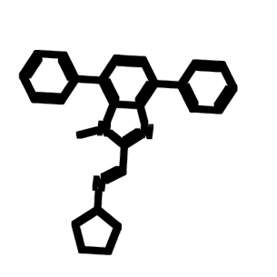 Cn1c(/C=N/C2CCCC2)nc2c(-c3ccccc3)ccc(-c3ccccc3)c21